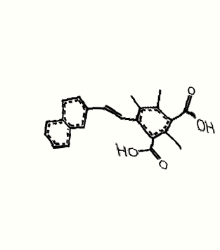 Cc1c(C)c(C(=O)O)c(C)c(C(=O)O)c1C=Cc1ccc2ccccc2c1